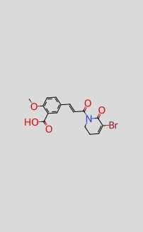 COc1ccc(C=CC(=O)N2CCC=C(Br)C2=O)cc1C(=O)O